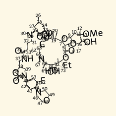 CC[C@H]1OC(=O)[C@H](C)[C@@H](O[C@H]2C[C@@](C)(OC)[C@@H](O)[C@H](C)O2)[C@H](C)[C@@H](O[C@@H]2C[C@H](C)C[C@H](N(C)CCCC(=O)NC[C@H]3CN(c4ccc(N5CCOCC5)c(F)c4)C(=O)O3)[C@H]2O)[C@](C)(O)C[C@@H](C)CN(C)[C@H](C)[C@@H](O)[C@]1(C)O